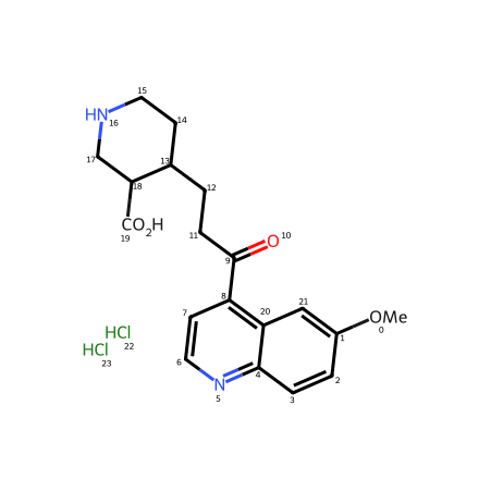 COc1ccc2nccc(C(=O)CCC3CCNCC3C(=O)O)c2c1.Cl.Cl